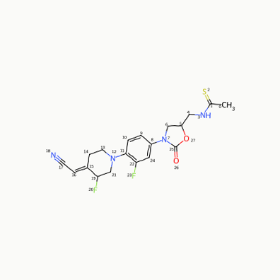 CC(=S)NCC1CN(c2ccc(N3CCC(=CC#N)C(F)C3)c(F)c2)C(=O)O1